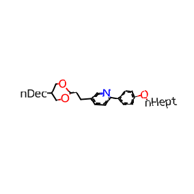 CCCCCCCCCCC1COC(CCc2ccc(-c3ccc(OCCCCCCC)cc3)nc2)OC1